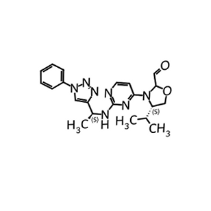 CC(C)[C@H]1COC(C=O)N1c1ccnc(N[C@@H](C)c2cn(-c3ccccc3)nn2)n1